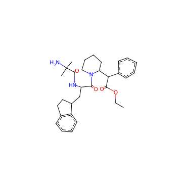 CCOC(=O)C(c1ccccc1)C1CCCCN1C(=O)C(CC1CCc2ccccc21)NC(=O)C(C)(C)N